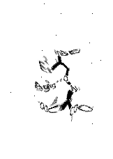 CCCCC(CC)CON=C(C(=O)[O-])C(=O)[O-].[Ag+].[Ag+]